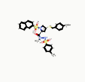 COc1ccc(CS[C@@H]2C[C@@H](C(=O)N(C)NS(=O)(=O)c3ccc(C)cc3)N(S(=O)(=O)c3ccc4ccccc4c3)C2)cc1